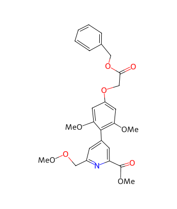 COOCc1cc(-c2c(OC)cc(OCC(=O)OCc3ccccc3)cc2OC)cc(C(=O)OC)n1